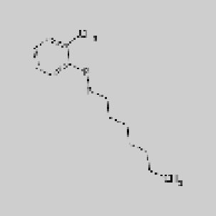 CCCCCCC[P][P]c1ccccc1C